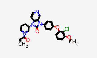 C=CC(=O)N1CCC[C@@H](n2c(=O)n(-c3ccc(Oc4cccc(OC)c4Cl)cc3)c3cnccc32)C1